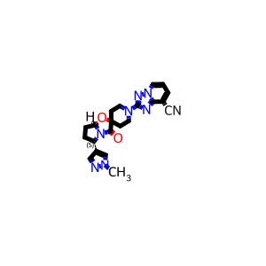 Cn1cc([C@@H]2CC[C@H]3OC4(CCN(c5nc6c(C#N)cccn6n5)CC4)C(=O)N32)cn1